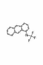 FC(F)(F)[N]c1cccc2cc3ccccc3cc12